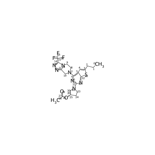 CCCc1cc2c(N3CCn4c(nnc4C(F)(F)F)C3)nc(N3CC[C@@H](OC(C)=O)C3)nc2s1